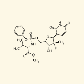 COC(=O)[C@@H](N[P@](=O)(OC[C@H]1O[C@@H](n2ccc(=O)[nH]c2=O)[C@](C)(F)[C@@H]1O)Oc1ccccc1)C(C)C